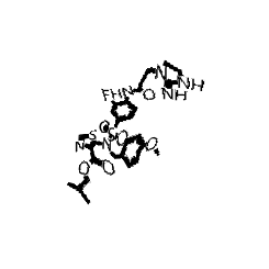 COc1ccc(CN(c2scnc2C(=O)OCC(C)C)S(=O)(=O)c2ccc(NC(=O)CN3CCNC3=N)c(F)c2)cc1